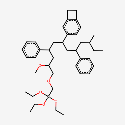 CCO[Si](COCC(CC(CC(CC(CC(C)CC)c1ccccc1)c1ccc2c(c1)CC2)c1ccccc1)OC)(OCC)OCC